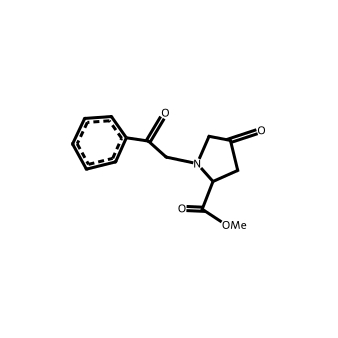 COC(=O)C1CC(=O)CN1CC(=O)c1ccccc1